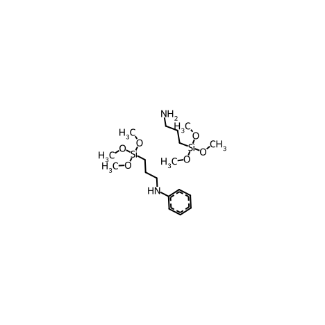 CO[Si](CCCN)(OC)OC.CO[Si](CCCNc1ccccc1)(OC)OC